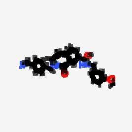 COc1cccc(CNC(=O)c2ccc3ccn(Cc4ccc(C#N)cc4)c(=O)c3c2)c1